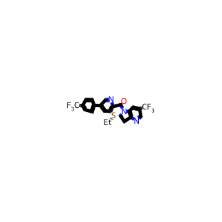 CCSc1cc(-c2ccc(C(F)(F)F)cc2)cnc1C(=O)N1CCc2ncc(C(F)(F)F)cc21